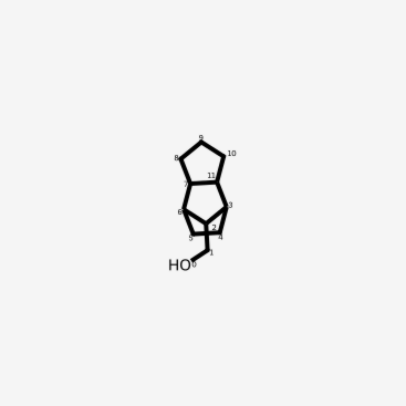 OCC1C2CCC1C1CCCC21